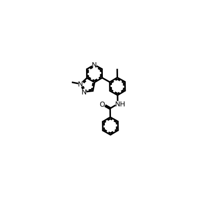 Cc1ccc(NC(=O)c2ccccc2)cc1-c1cncc2c1cnn2C